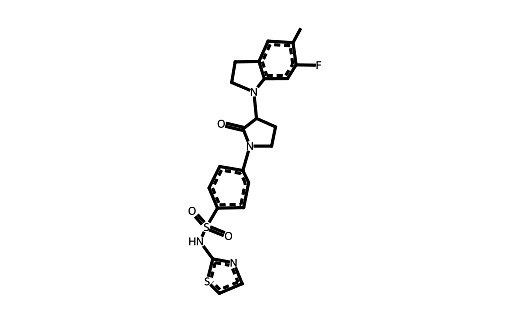 Cc1cc2c(cc1F)N(C1CCN(c3ccc(S(=O)(=O)Nc4nccs4)cc3)C1=O)CC2